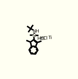 CC1=C([Si](C)(C)NC(C)(C)C)C(C)c2ccccc21.Cl.Cl.[Ti]